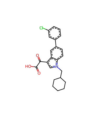 O=C(O)C(=O)c1cn(CC2CCCCC2)c2ccc(-c3cccc(Cl)c3)cc12